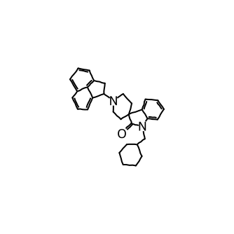 O=C1N(CC2CCCCC2)c2ccccc2C12CCN(C1Cc3cccc4cccc1c34)CC2